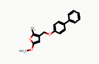 O=C(O)Oc1cc(COc2ccc(-c3ccccc3)cc2)c(C(F)(F)F)o1